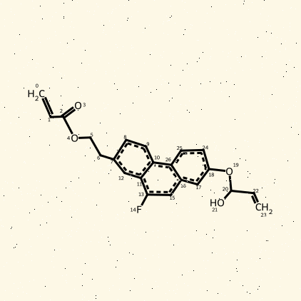 C=CC(=O)OCCc1ccc2c(c1)c(F)cc1cc(OC(O)C=C)ccc12